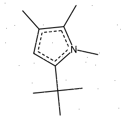 Cc1cc(C(C)(C)C)n(C)c1C